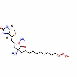 NOC(=O)C(N)(CCCCCCCCCCOOO)CCC[C@@H]1SC[C@@H]2NC(=O)N[C@@H]21